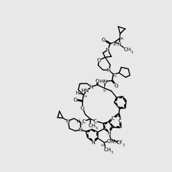 CO[C@@H](C)c1ncc(N2CCN(C3CC3)CC2)cc1-c1c2c3cc(ccc3n1CC(F)(F)F)-c1cccc(c1)C[C@H](NC(=O)[C@H](C1CCCC1)N1CCOC3(CN(C(=O)[C@H]4[C@@H](C5CC5)N4C)C3)C1)C(=O)N1CCC[C@H](N1)C(=O)OCC(C)(C)C2